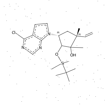 C=C[C@@]1(C)C[C@@H](n2ccc3c(Cl)ncnc32)C(O[Si](C)(C)C(C)(C)C)C1(C)O